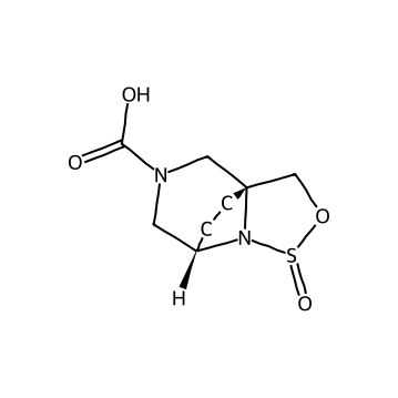 O=C(O)N1C[C@@H]2CC[C@]3(COS(=O)N23)C1